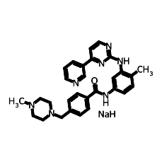 Cc1ccc(NC(=O)c2ccc(CN3CCN(C)CC3)cc2)cc1Nc1nccc(-c2cccnc2)n1.[NaH]